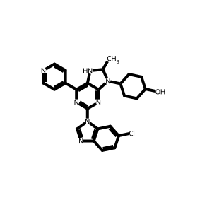 CC1Nc2c(-c3ccncc3)nc(-n3cnc4ccc(Cl)cc43)nc2N1C1CCC(O)CC1